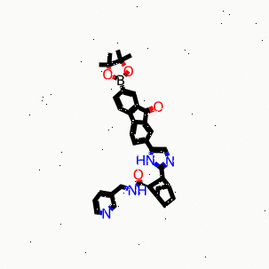 CC1(C)OB(c2ccc3c(c2)C(=O)c2cc(-c4cnc(C5C6CCC(C6)[C@H]5C(=O)NCc5cccnc5)[nH]4)ccc2-3)OC1(C)C